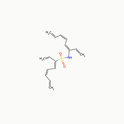 C=C/C=C\C=C(/C=C)NS(=O)(=O)/C(C=C)=C/C=C\C=C